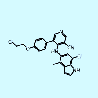 Cc1c(Nc2c(C#N)cncc2-c2ccc(OCCCl)cc2)cc(Cl)c2[nH]ccc12